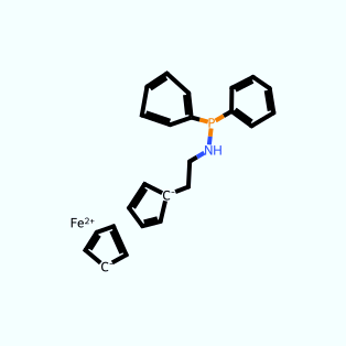 [Fe+2].c1cc[cH-]c1.c1ccc(P(NCC[c-]2cccc2)c2ccccc2)cc1